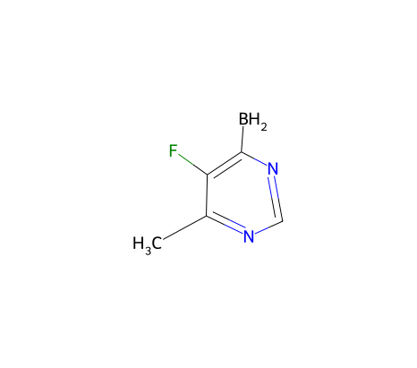 Bc1ncnc(C)c1F